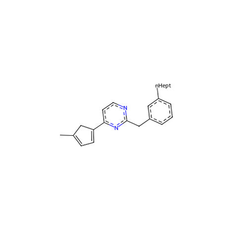 CCCCCCCc1cccc(Cc2nccc(C3=CC=C(C)C3)n2)c1